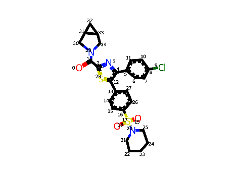 O=C(c1nc(-c2ccc(Cl)cc2)c(-c2ccc(S(=O)(=O)N3CCCCC3)cc2)s1)N1CC2CC2C1